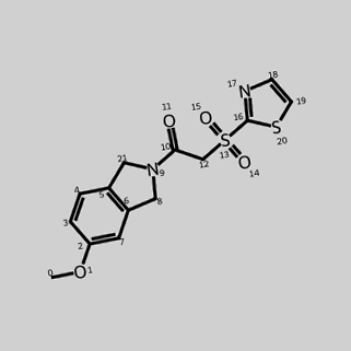 COc1ccc2c(c1)CN(C(=O)CS(=O)(=O)c1nccs1)C2